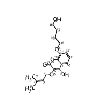 CC(C)=CCOc1c(O)c2cccc(OCCCCO)c2oc1=O